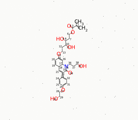 C=C(C)C(=O)OCCC(O)C(O)CCOC1=CC2C(C=C1)C=C(c1ccc(OCCO)cc1)C(=O)N2CCCO